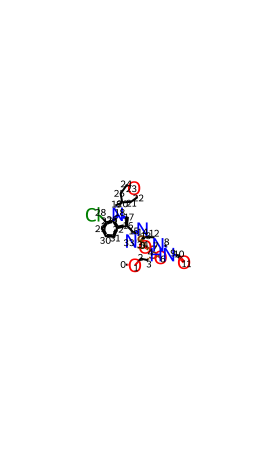 COCCS(=O)(=O)N(CNC=O)Cc1nc(-c2cn(CC3CCOCC3)c3c(Cl)cccc23)ns1